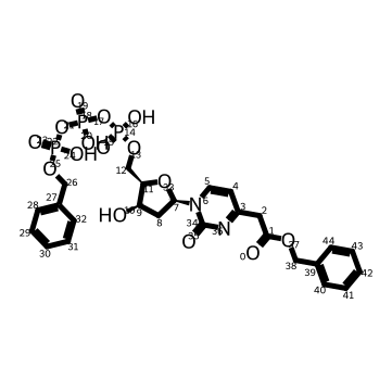 O=C(Cc1ccn([C@H]2C[C@@H](O)[C@@H](COP(=O)(O)OP(=O)(O)OP(=O)(O)OCc3ccccc3)O2)c(=O)n1)OCc1ccccc1